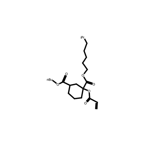 C=CC(=O)OC1(C(=O)OCCCCCC(C)C)CCCC(C(=O)OCCCC)C1